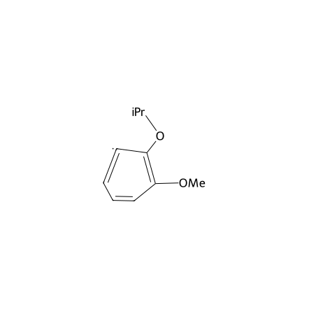 COc1ccc[c]c1OC(C)C